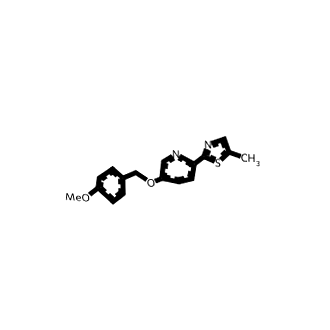 COc1ccc(COc2ccc(-c3ncc(C)s3)nc2)cc1